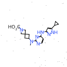 CN(c1nccc(Nc2cc(C3CC3)[nH]n2)n1)C1CC2(C1)CN(C(=O)O)C2